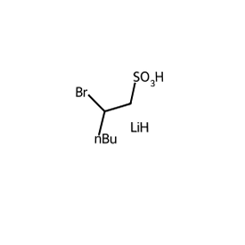 CCCCC(Br)CS(=O)(=O)O.[LiH]